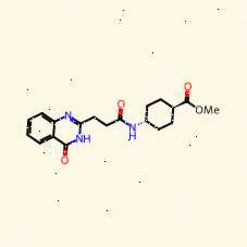 COC(=O)[C@H]1CC[C@H](NC(=O)CCc2nc3ccccc3c(=O)[nH]2)CC1